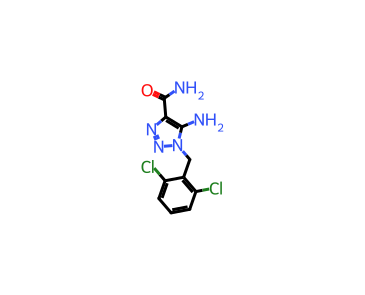 NC(=O)c1nnn(Cc2c(Cl)cccc2Cl)c1N